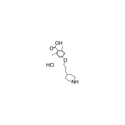 Cc1cc(OCCCC2CCNCC2)cc(C)c1C(=O)O.Cl